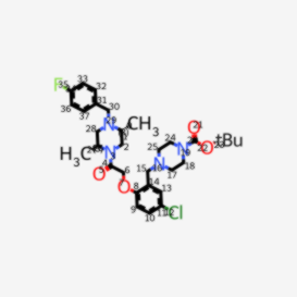 C[C@@H]1CN(C(=O)COc2ccc(Cl)cc2CN2CCN(C(=O)OC(C)(C)C)CC2)[C@@H](C)CN1Cc1ccc(F)cc1